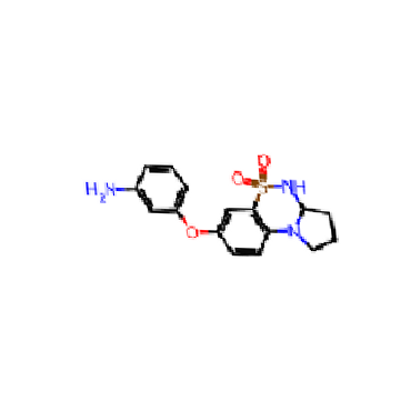 Nc1cccc(Oc2ccc3c(c2)S(=O)(=O)NC2CCCN32)c1